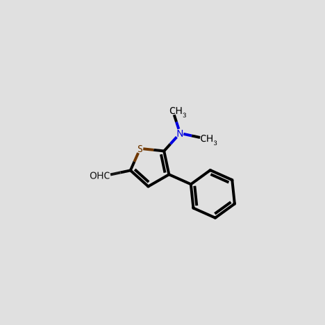 CN(C)c1sc(C=O)cc1-c1ccccc1